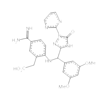 COc1cc(OC)cc(C(Nc2ccc(C(=N)N)cc2CC(=O)O)c2nn(-c3ncccn3)c(=O)[nH]2)c1